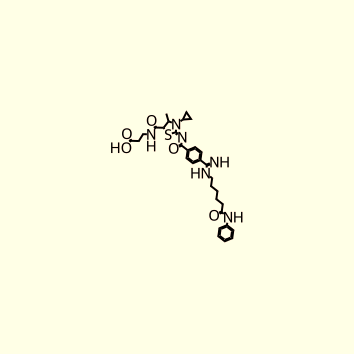 CC1C(C(=O)NCCC(=O)O)SC(=NC(=O)c2ccc(C(=N)NCCCCCC(=O)Nc3ccccc3)cc2)N1C1CC1